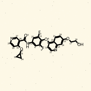 O=C(Nc1cc(F)c(Oc2ccnc3cc(OCCO)ccc23)c(F)c1)c1cnccc1OC1CC1